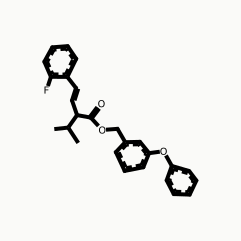 CC(C)C(C=Cc1ccccc1F)C(=O)OCc1cccc(Oc2ccccc2)c1